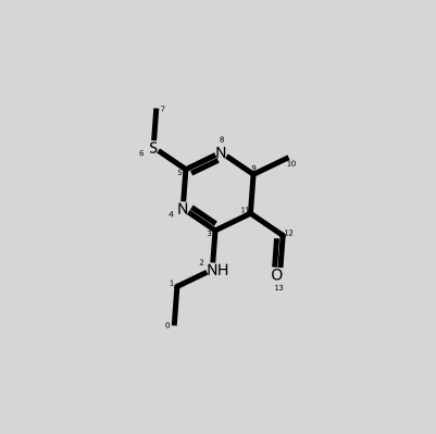 CCNC1=NC(SC)=NC(C)C1C=O